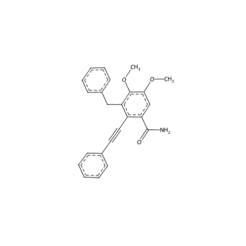 COc1cc(C(N)=O)c(C#Cc2ccccc2)c(Cc2ccccc2)c1OC